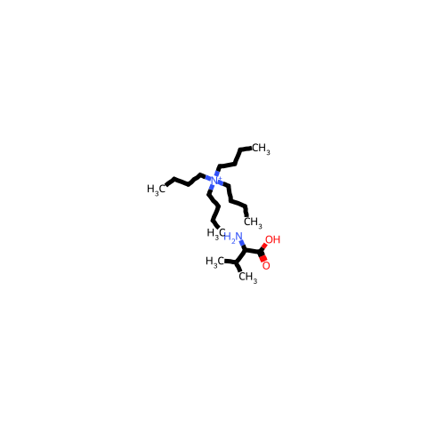 CC(C)C(N)C(=O)O.CCCC[N+](CCCC)(CCCC)CCCC